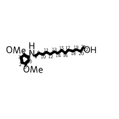 COc1ccc(OC)c(NCCCCCCCCCCCCCCO)c1